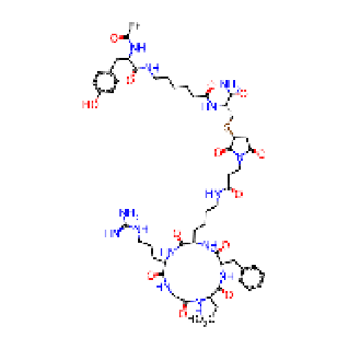 CCC(=O)NC(Cc1ccc(O)cc1)C(=O)NCCCCCC(=O)N[C@@H](CSC1CC(=O)N(CCC(=O)NCCCCC2NC(=O)[C@@H](Cc3ccccc3)NC(=O)C(CC(=O)O)NC(=O)CNC(=O)C(CCCNC(=N)N)NC2=O)C1=O)C(N)=O